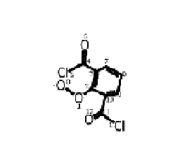 [O]Oc1c(C(=O)Cl)cccc1C(=O)Cl